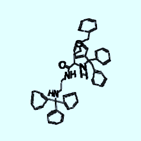 O=C(NCCNC(c1ccccc1)(c1ccccc1)c1ccccc1)C(CCOCc1ccccc1)NC(c1ccccc1)(c1ccccc1)c1ccccc1